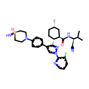 CC(C)[C@@H](C#N)NC(=O)[C@@H]1C[C@@H](F)CC[C@H]1c1nn(-c2ncccc2F)cc1-c1ccc(N2CCS(=N)(=O)CC2)cc1